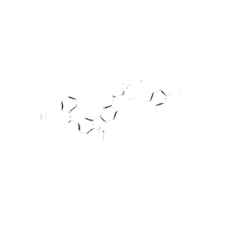 CCn1c2ccc(C(=O)/C(CCSc3ccc(O)cc3)=N/OC(C)=O)cc2c2cc(C(=O)c3ccccc3C)ccc21